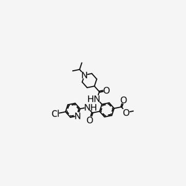 COC(=O)c1ccc(C(=O)Nc2ccc(Cl)cn2)c(NC(=O)C2CCN(C(C)C)CC2)c1